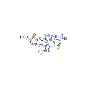 CCNc1cc(F)cc2c1[nH]c1ncc(-c3ccc4ncc(C(=O)O)c(=O)n4c3)c(-n3ccc(C(F)(F)F)n3)c12